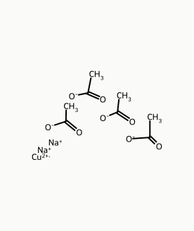 CC(=O)[O-].CC(=O)[O-].CC(=O)[O-].CC(=O)[O-].[Cu+2].[Na+].[Na+]